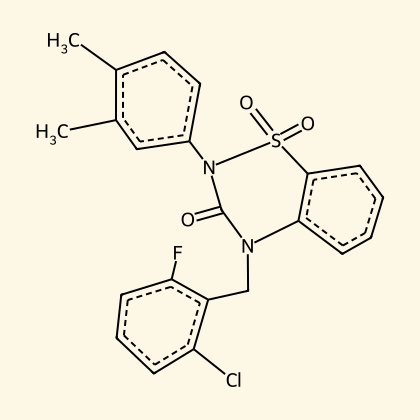 Cc1ccc(N2C(=O)N(Cc3c(F)cccc3Cl)c3ccccc3S2(=O)=O)cc1C